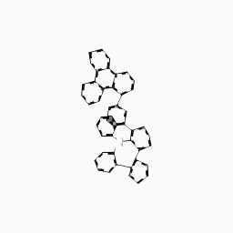 c1ccc(N2c3ccccc3-c3ccccc3-c3cccc(-c4cccc(-c5cccc6c7ccccc7c7ccccc7c56)c4)c32)cc1